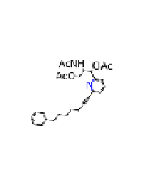 CC(=O)NC(COC(C)=O)C(OC(C)=O)c1cccc(C#CCCCCCc2ccccc2)n1